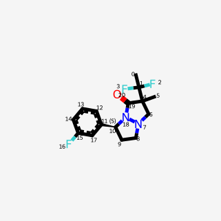 CC(F)(F)C1(C)CN2CC[C@@H](c3cccc(F)c3)N2C1=O